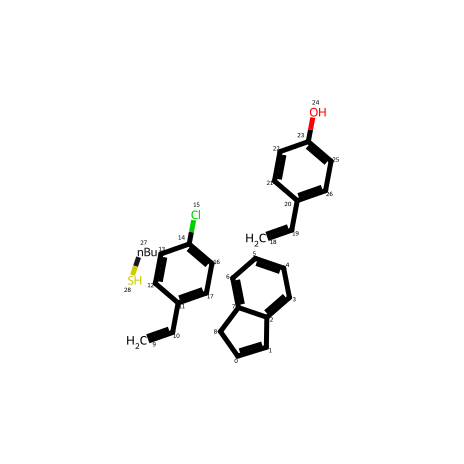 C1=Cc2ccccc2C1.C=Cc1ccc(Cl)cc1.C=Cc1ccc(O)cc1.CCCCS